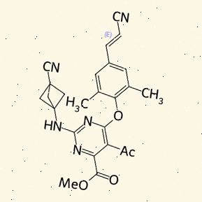 COC(=O)c1nc(NC23CC(C#N)(C2)C3)nc(Oc2c(C)cc(/C=C/C#N)cc2C)c1C(C)=O